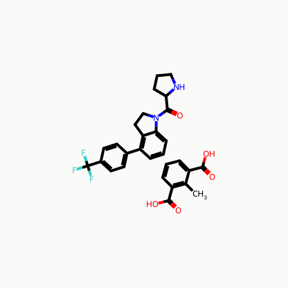 Cc1c(C(=O)O)cccc1C(=O)O.O=C(C1CCCN1)N1CCc2c(-c3ccc(C(F)(F)F)cc3)cccc21